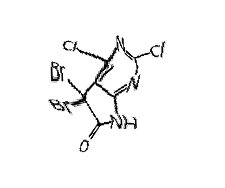 O=C1Nc2nc(Cl)nc(Cl)c2C1(Br)Br